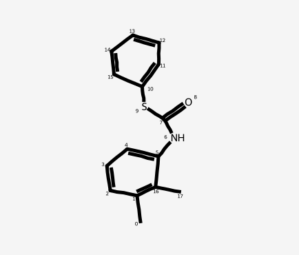 Cc1cccc(NC(=O)Sc2ccccc2)c1C